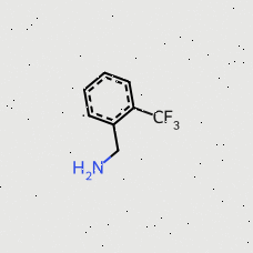 NCc1[c]cccc1C(F)(F)F